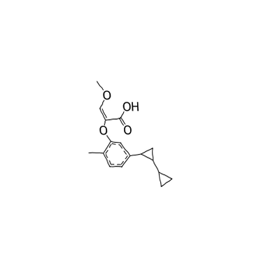 COC=C(Oc1cc(C2CC2C2CC2)ccc1C)C(=O)O